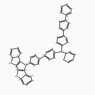 C1=CCC(N(c2ccc(-c3ccc(-c4ccccc4)cc3)cc2)c2ccc(-c3ccc(-n4c5c(c6sc7ccccc7c64)SC4C=CC=CC54)cc3)cc2)C=C1